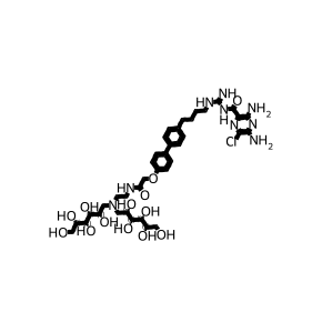 N=C(NCCCCc1ccc(-c2ccc(OCC(=O)NCCN(C[C@H](O)[C@@H](O)[C@H](O)[C@H](O)CO)C[C@H](O)[C@@H](O)[C@H](O)[C@H](O)CO)cc2)cc1)NC(=O)c1nc(Cl)c(N)nc1N